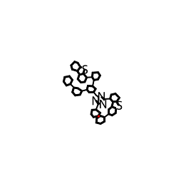 c1ccc(-c2cccc(-c3cc(-c4nc(-c5ccccc5)nc(-c5cccc6sc7ccc(-c8ccccc8)cc7c56)n4)cc(-c4ccccc4-c4cccc5c4sc4ccccc45)c3)c2)cc1